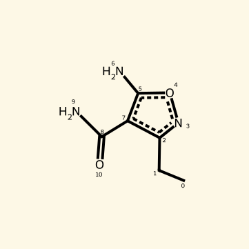 CCc1noc(N)c1C(N)=O